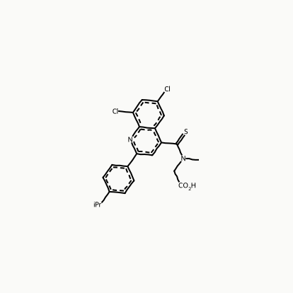 CC(C)c1ccc(-c2cc(C(=S)N(C)CC(=O)O)c3cc(Cl)cc(Cl)c3n2)cc1